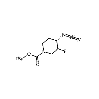 CC(C)(C)OC(=O)N1CC[C@H](N=[N+]=[N-])C(F)C1